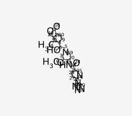 CO[C@@H]1CN(CC(O)c2ccc3c(c2C)COC3=O)CC[C@@H]1NC(=O)c1ccc(-n2cnnn2)nc1